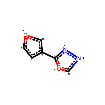 [c]1nnc(-c2ccoc2)o1